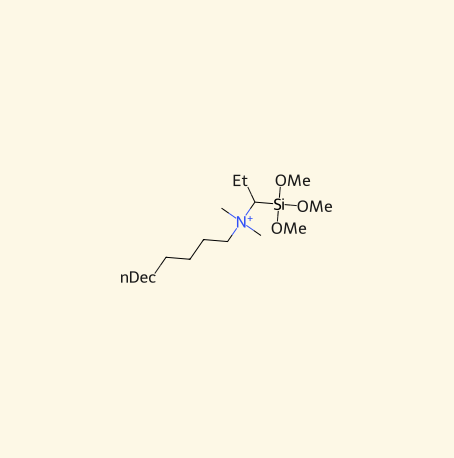 CCCCCCCCCCCCCC[N+](C)(C)C(CC)[Si](OC)(OC)OC